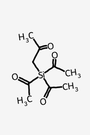 CC(=O)C[Si](C(C)=O)(C(C)=O)C(C)=O